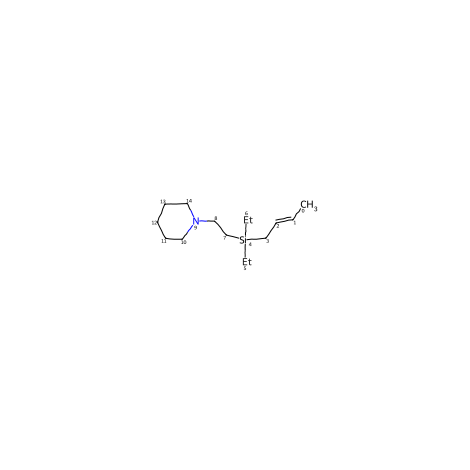 CC=CC[Si](CC)(CC)CCN1CCCCC1